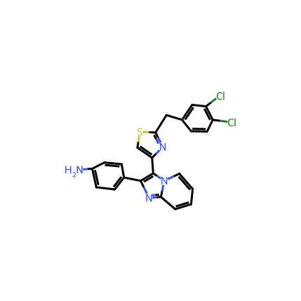 Nc1ccc(-c2nc3ccccn3c2-c2csc(Cc3ccc(Cl)c(Cl)c3)n2)cc1